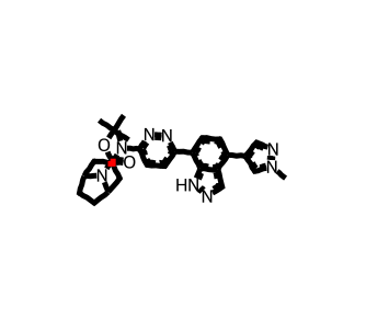 CN(c1ccc(-c2ccc(-c3cnn(C)c3)c3cn[nH]c23)nn1)C1CC2CCC(C1)N2C(=O)OC(C)(C)C